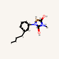 CCCCc1cccc(-n2sc(=O)n(C)c2=O)c1